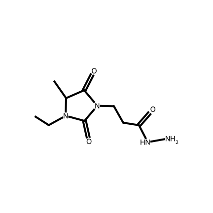 CCN1C(=O)N(CCC(=O)NN)C(=O)C1C